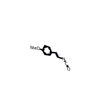 COc1ccc(/C=C/N=C=O)cc1